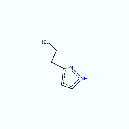 CC(C)(C)CCc1cc[nH]n1